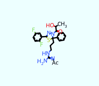 CC(=O)N=C(N)NCCCC1(c2ccccc2)SC(c2cc(F)ccc2F)=NN1C(=O)C(C)O